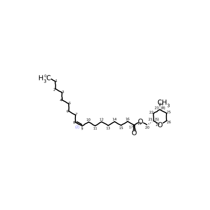 CCCCCCCC/C=C\CCCCCCCC(=O)OC[C@@H]1C[C@H](C)CCO1